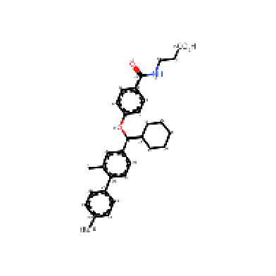 Cc1cc(C(Oc2ccc(C(=O)NCCC(=O)O)cc2)C2CCCCC2)ccc1-c1ccc(C(C)(C)C)cc1